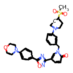 CS(=O)(=O)C1CCN(c2cccc(Cn3cc(-c4noc(-c5ccc(N6CCOCC6)cc5)n4)ccc3=O)c2)CC1